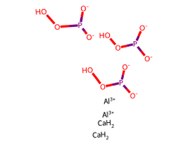 [Al+3].[Al+3].[CaH2].[CaH2].[O-]P([O-])OO.[O-]P([O-])OO.[O-]P([O-])OO